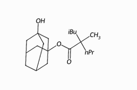 CCCC(C)(C(=O)OC12CC3CC(CC(O)(C3)C1)C2)C(C)CC